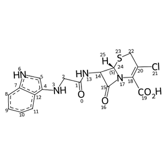 O=C(CNc1c[nH]c2ccccc12)NC1C(=O)N2C(C(=O)O)=C(Cl)CS[C@@H]12